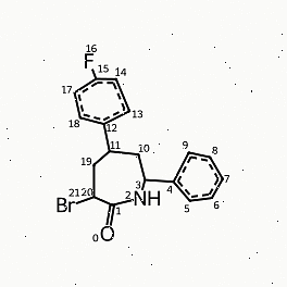 O=C1NC(c2ccccc2)CC(c2ccc(F)cc2)CC1Br